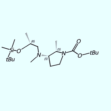 C[C@H](CN(C)[C@H]1CCN(C(=O)OC(C)(C)C)[C@H]1C)O[Si](C)(C)C(C)(C)C